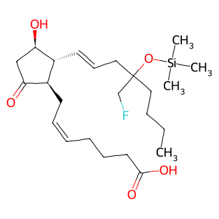 CCCCC(CF)(C/C=C/[C@H]1[C@H](O)CC(=O)[C@@H]1C/C=C\CCCC(=O)O)O[Si](C)(C)C